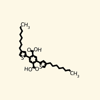 CCCCCCCCc1csc(-c2cc(C(=O)O)c(-c3cc(CCCCCCCC)cs3)cc2C(=O)O)c1